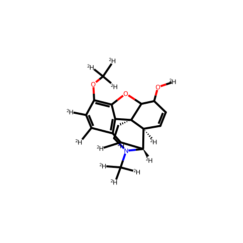 [2H]OC1C=C[C@]2([2H])[C@@]34CCN(C([2H])([2H])[2H])[C@]2([2H])C([2H])([2H])c2c([2H])c([2H])c(OC([2H])([2H])[2H])c(c23)OC14